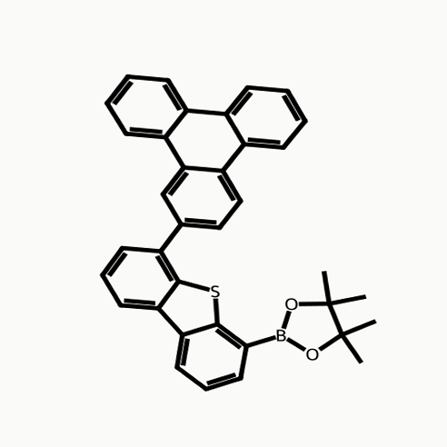 CC1(C)OB(c2cccc3c2sc2c(-c4ccc5c6ccccc6c6ccccc6c5c4)cccc23)OC1(C)C